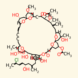 C=C(Cl)/C=C/[C@@H](O)CC(=C)C[C@H]1O[C@@H]2[C@H](C)[C@@H](OC(=O)C[C@H]3C[C@H](OC(C)=O)C[C@@]4(CC(C)(O)C[C@H](CC(=C)[C@@H](C)[C@H](OC(C)=O)[C@H](C)C(=O)C[C@@H]5C[C@H](OC)C[C@@]6(C[C@@H](O)C[C@H](/C=C\CCC[C@H]7O[C@](O)(C[C@H](O)[C@H]7C)[C@H]2O)O6)O5)O4)O3)[C@@H]1O